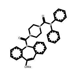 COC1=Cc2ccccc2N(C(=O)N2CCN(C(=O)N(c3ccccc3)c3ccccc3)CC2)c2ccccc21